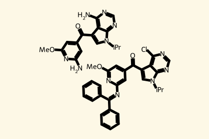 COc1cc(C(=O)c2cn(C(C)C)c3ncnc(Cl)c23)cc(N=C(c2ccccc2)c2ccccc2)n1.COc1cc(C(=O)c2cn(C(C)C)c3ncnc(N)c23)cc(N)n1